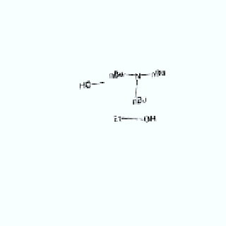 CCCCN(CCCC)CCCC.CCO.CO